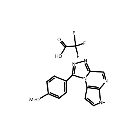 COc1ccc(-c2nnc3cnc4[nH]ccc4n23)cc1.O=C(O)C(F)(F)F